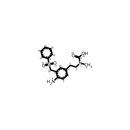 CN(CCc1ccc(N)c(CS(=O)(=O)c2ccccc2)c1)C(=O)O